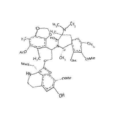 COc1cc2c(cc1O)CCN[C@@]2(CSC)C(=O)OCC(c1c(C)c(OC(C)=O)c(C)c2c1OCO2)N1[C@@H](O)C(C)(N(C)C)Cc2cc(C)c(OC)c(O)c2[C@@H]1C